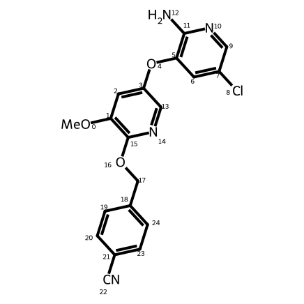 COc1cc(Oc2cc(Cl)cnc2N)cnc1OCc1ccc(C#N)cc1